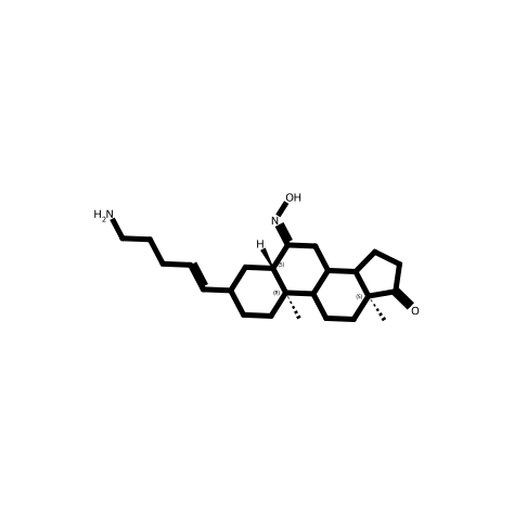 C[C@]12CCC3C(CC(=NO)[C@H]4CC(C=CCCCN)CC[C@]34C)C1CCC2=O